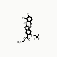 CCOC(=O)c1cc2nc(Nc3c(F)ccc(Cl)c3Cl)[nH]c2cc1OCC(F)(F)F